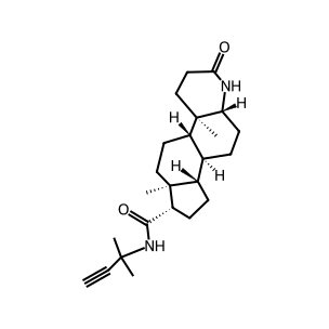 C#CC(C)(C)NC(=O)[C@H]1CC[C@H]2[C@@H]3CC[C@H]4NC(=O)CC[C@]4(C)[C@H]3CC[C@]12C